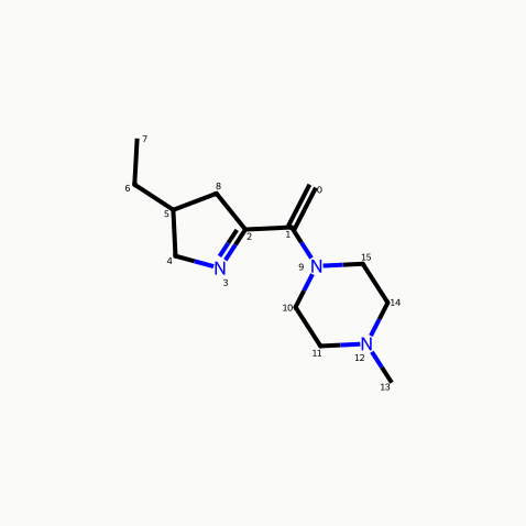 C=C(C1=NCC(CC)C1)N1CCN(C)CC1